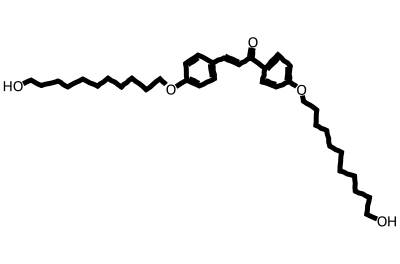 O=C(C=Cc1ccc(OCCCCCCCCCCCO)cc1)c1ccc(OCCCCCCCCCCCO)cc1